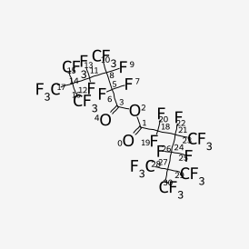 O=C(OC(=O)C(F)(F)C(F)(C(F)(F)F)C(F)(F)C(C(F)(F)F)(C(F)(F)F)C(F)(F)F)C(F)(F)C(F)(C(F)(F)F)C(F)(F)C(C(F)(F)F)(C(F)(F)F)C(F)(F)F